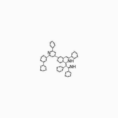 N=C(/C(=C1\NC(c2ccccc2)=Cc2cc(-c3cc(-c4ccccc4)nc(-c4cccc(-c5ccccc5)c4)c3)ccc21)c1ccccc1)c1ccccc1